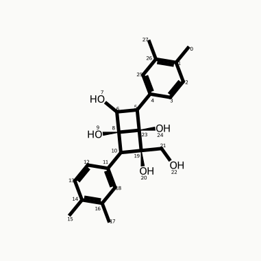 Cc1ccc(C2C(O)[C@@]3(O)C(c4ccc(C)c(C)c4)[C@@](O)(CO)[C@@]23O)cc1C